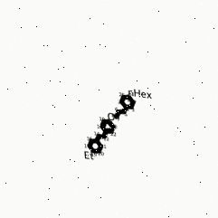 CCCCCCC1CCC(CCCOc2ccc(CCC3CCC(CC)CC3)cc2)CC1